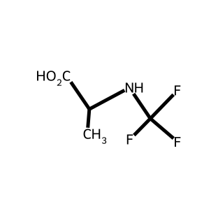 CC(NC(F)(F)F)C(=O)O